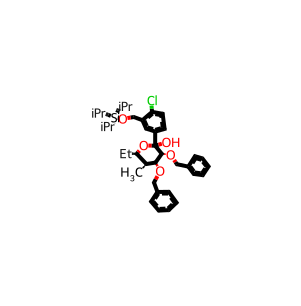 CC[C@H]1OC(O)(c2ccc(Cl)c(CO[Si](C(C)C)(C(C)C)C(C)C)c2)[C@H](OCc2ccccc2)[C@@H](OCc2ccccc2)[C@@H]1C